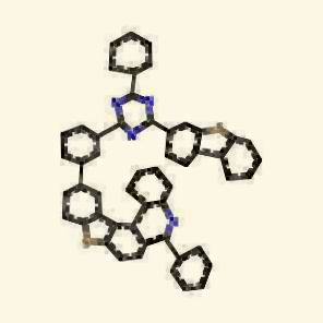 c1ccc(-c2nc(-c3cccc(-c4ccc5sc6ccc7c(-c8ccccc8)nc8ccccc8c7c6c5c4)c3)nc(-c3ccc4c(c3)sc3ccccc34)n2)cc1